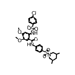 COc1cc(NS(=O)(=O)c2ccc(Cl)cc2)c(C(=O)Nc2ccc(S(=O)(=O)N3CC(C)CC(C)C3)cc2)cc1OC